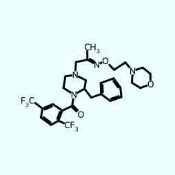 CC(CN1CCN(C(=O)c2cc(C(F)(F)F)ccc2C(F)(F)F)C(Cc2ccccc2)C1)=NOCCN1CCOCC1